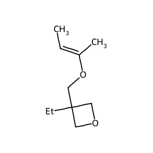 CC=C(C)OCC1(CC)COC1